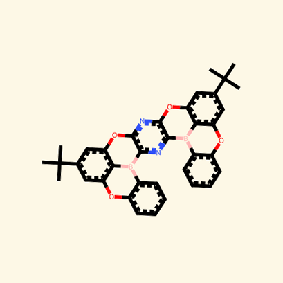 CC(C)(C)c1cc2c3c(c1)Oc1nc4c(nc1B3c1ccccc1O2)B1c2ccccc2Oc2cc(C(C)(C)C)cc(c21)O4